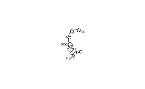 N#Cc1ccc(C[n+]2ccc(CN3CCC(=CC4=C(C(=O)[O-])N5C(=O)[C@@H](NC(=O)C(=NOC6CCCC6)c6csc(N)n6)[C@H]5SC4)C3=O)cc2)cc1